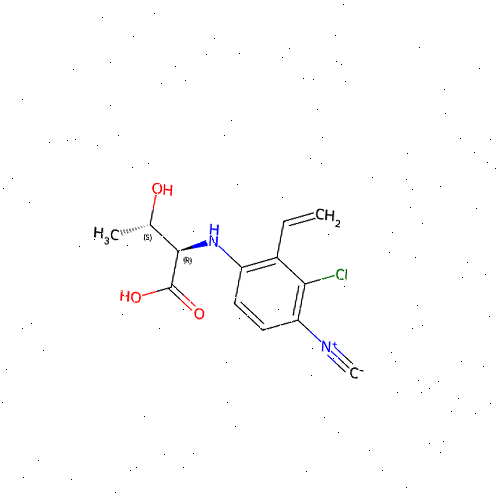 [C-]#[N+]c1ccc(N[C@@H](C(=O)O)[C@H](C)O)c(C=C)c1Cl